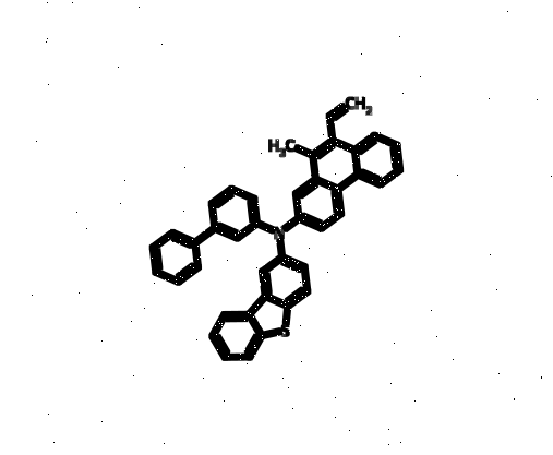 C=Cc1c(C)c2cc(N(c3cccc(-c4ccccc4)c3)c3ccc4sc5ccccc5c4c3)ccc2c2ccccc12